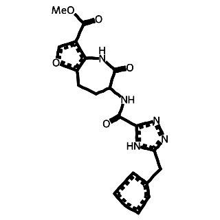 COC(=O)c1coc2c1NC(=O)C(NC(=O)c1nnc(Cc3ccccc3)[nH]1)CC2